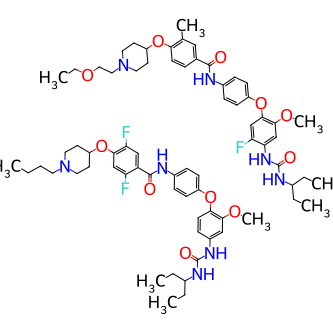 CCCCN1CCC(Oc2cc(F)c(C(=O)Nc3ccc(Oc4ccc(NC(=O)NC(CC)CC)cc4OC)cc3)cc2F)CC1.CCOCCN1CCC(Oc2ccc(C(=O)Nc3ccc(Oc4cc(F)c(NC(=O)NC(CC)CC)cc4OC)cc3)cc2C)CC1